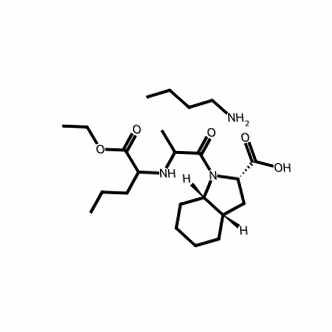 CCCC(NC(C)C(=O)N1[C@H](C(=O)O)C[C@@H]2CCCC[C@@H]21)C(=O)OCC.CCCCN